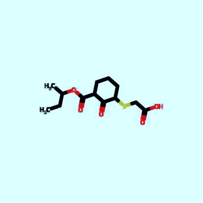 CCC(C)OC(=O)C1CCCC(SCC(=O)O)C1=O